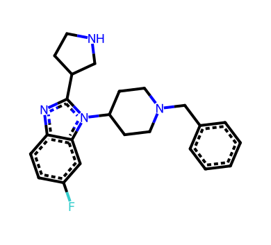 Fc1ccc2nc(C3CCNC3)n(C3CCN(Cc4ccccc4)CC3)c2c1